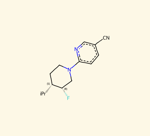 CC(C)[C@@H]1CCN(c2ccc(C#N)cn2)C[C@@H]1F